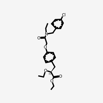 CCOC(=O)[C@H](Cc1ccc(OCC(=O)N(CC)Cc2ccc(Cl)cc2)cc1)OCC